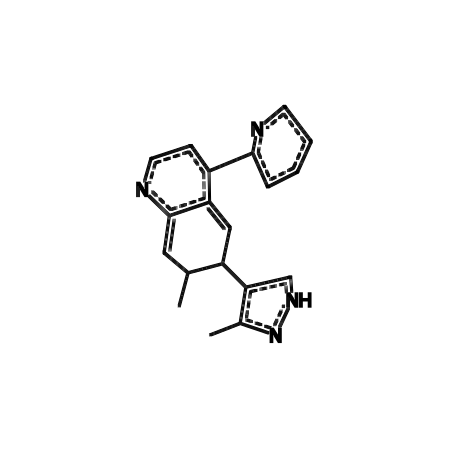 Cc1n[nH]cc1C1C=c2c(-c3ccccn3)ccnc2=CC1C